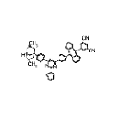 C[C@@H]1C[C@@H]2C[C@H](C)CC(c3ccc(-c4nc(-c5ccccc5)nc(-c5ccc(-c6c7ccccc7c(-c7cc(C#N)cc(C#N)c7)c7ccccc67)cc5)n4)cc3)(C1)C2